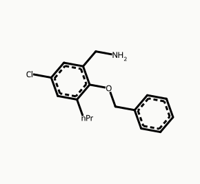 CCCc1cc(Cl)cc(CN)c1OCc1ccccc1